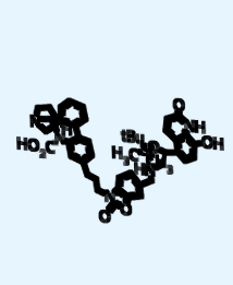 CC(C)(C)[Si](C)(C)O[C@H](CNCc1ccc2c(c1)oc(=O)n2CCCc1ccc(-c2ccccc2)c(N(C(=O)O)[C@H]2CN3CCC2CC3)c1)c1ccc(O)c2[nH]c(=O)ccc12